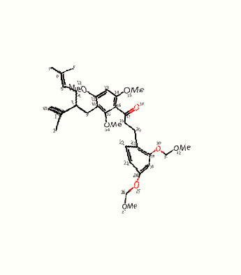 C=C(C)C(CC=C(C)C)Cc1c(OC)cc(OC)c(C(=O)CCc2ccc(OCOC)cc2OCOC)c1OC